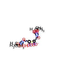 CC(C)(C)OC(=O)N1CCN(C(=O)/C=C/c2ccc(Sc3ccc(/C=C/C(=O)N4CCN(C(=O)OC(C)(C)C)C(CO)C4)cc3[N+](=O)[O-])c([N+](=O)[O-])c2)CC1CO